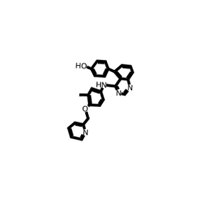 Cc1cc(Nc2ncnc3cccc(-c4ccc(O)cc4)c23)ccc1OCc1ccccn1